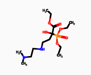 CCOC(=O)C(O)(CCNCCN(C)C)P(=O)(OCC)OCC